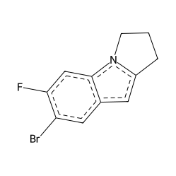 Fc1cc2c(cc1Br)cc1n2CCC1